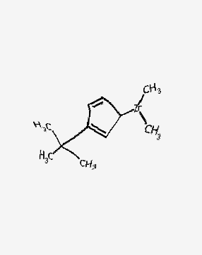 [CH3][Zr]([CH3])[CH]1C=CC(C(C)(C)C)=C1